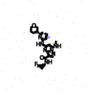 C=C(/N=C(\C=C/C)Nc1cc(NC)n2ncc(C(=O)N[C@H]3C[C@H]3F)c2n1)[C@H]1CCCOC1